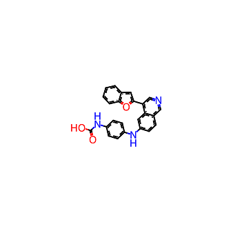 O=C(O)Nc1ccc(Nc2ccc3cncc(-c4cc5ccccc5o4)c3c2)cc1